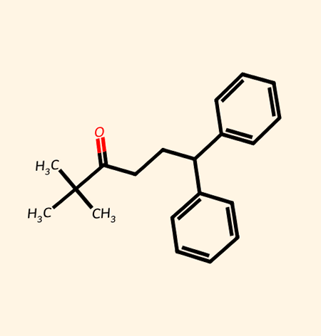 CC(C)(C)C(=O)CCC(c1ccccc1)c1ccccc1